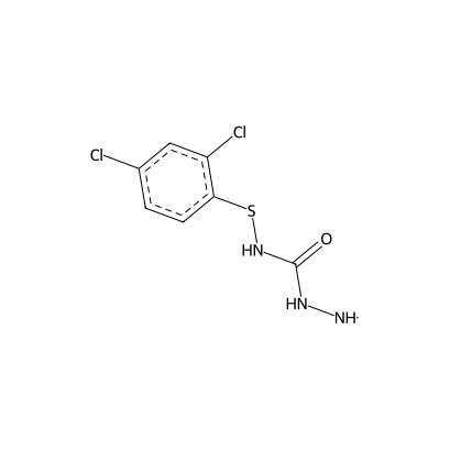 [NH]NC(=O)NSc1ccc(Cl)cc1Cl